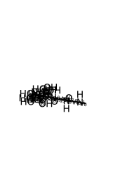 CCCNCCCCCC(=O)NCCCCCC(=O)NCCCO[C@@H]1OC(CO)[C@H](O)C(O[C@H]2OC(CO)[C@H](O)[C@H](O)C2N)[C@@H]1O[C@@H]1CC(C)[C@@H](O)[C@H](O)C1O